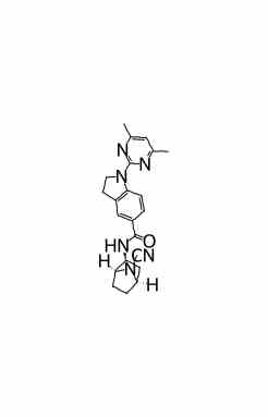 Cc1cc(C)nc(N2CCc3cc(C(=O)N[C@H]4C[C@H]5CC[C@@H]4N5C#N)ccc32)n1